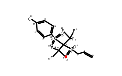 C=CCS(=O)(=O)C(C(F)(F)F)(C(F)(F)F)S(=O)(=O)c1ccc(Cl)cc1